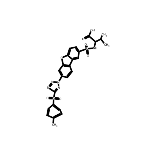 Cc1ccc(S(=O)(=O)c2nnn(-c3ccc4c(c3)oc3ccc(S(=O)(=O)NC(C(=O)O)C(C)C)cc34)n2)cc1